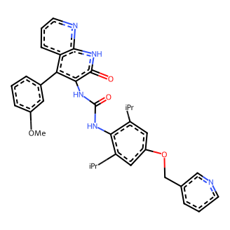 COc1cccc(-c2c(NC(=O)Nc3c(C(C)C)cc(OCc4cccnc4)cc3C(C)C)c(=O)[nH]c3ncccc23)c1